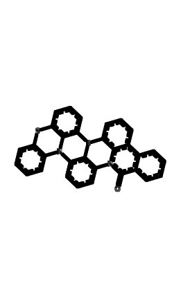 O=c1c2ccccc2c2cccc3c2n1-c1cccc2c1B3c1cccc3c1N2c1ccccc1S3